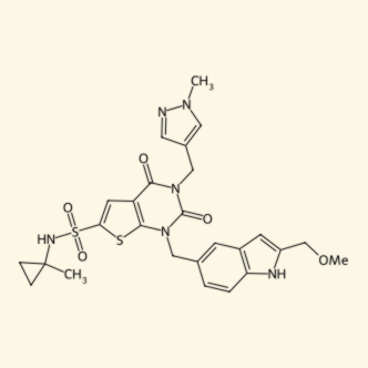 COCc1cc2cc(Cn3c(=O)n(Cc4cnn(C)c4)c(=O)c4cc(S(=O)(=O)NC5(C)CC5)sc43)ccc2[nH]1